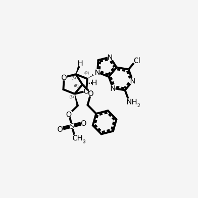 CS(=O)(=O)OC[C@]12CO[C@H]([C@H](n3cnc4c(Cl)nc(N)nc43)O1)[C@H]2OCc1ccccc1